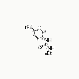 CCNC(=S)Nc1ccc(C(C)(C)C)cc1